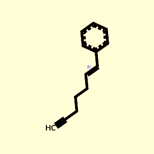 C#CCCC/C=C/c1ccccc1